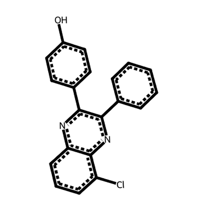 Oc1ccc(-c2nc3cccc(Cl)c3nc2-c2ccccc2)cc1